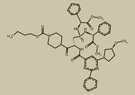 CCCCOC(=O)N1CCN(C(=O)[C@H](CP(=O)(N[C@H](C(=O)OC)c2ccccc2)N[C@H](C(=O)OC)c2ccccc2)NC(=O)c2cc(N3CC[C@H](OC)C3)nc(-c3ccccc3)n2)CC1